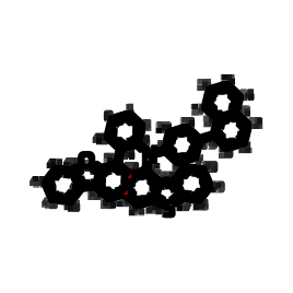 c1ccc(N(c2ccc(-c3cccc4ccccc34)cc2)c2cccc3sc4ccccc4c23)c(-c2cccc3c2oc2ccccc23)c1